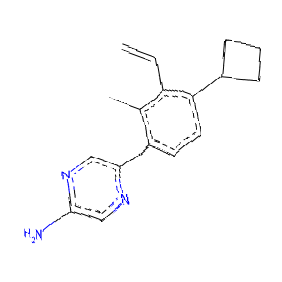 C=Cc1c(C2CCC2)ccc(-c2cnc(N)cn2)c1C